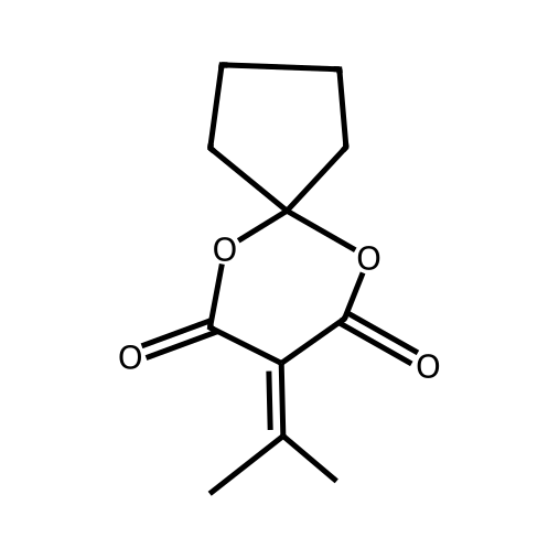 CC(C)=C1C(=O)OC2(CCCC2)OC1=O